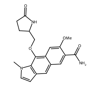 COc1cc2c(OCC3CCC(=O)N3)c3c(ccn3C)cc2cc1C(N)=O